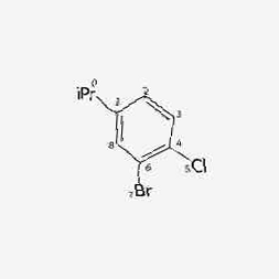 CC(C)c1ccc(Cl)c(Br)c1